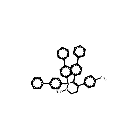 Cc1ccc(C2=C(c3ccc(-c4ccccc4)cc3)[B-](c3ccc(-c4ccccc4)cc3)(c3ccc(-c4ccccc4)cc3)[O+](C)CC2)cc1